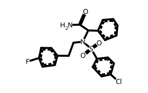 NC(=O)C(c1ccccc1)N(CCc1ccc(F)cc1)S(=O)(=O)c1ccc(Cl)cc1